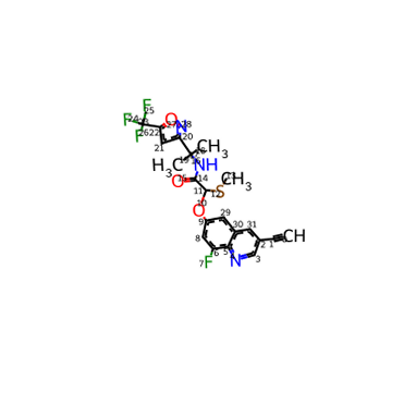 C#Cc1cnc2c(F)cc(OC(SC)C(=O)NC(C)(C)c3cc(C(F)(F)F)on3)cc2c1